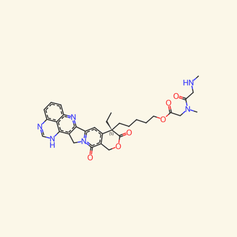 CC[C@@]1(CCCCCOC(=O)CN(C)C(=O)CNC)C(=O)OCc2c1cc1n(c2=O)Cc2c-1nc1cccc3c1c2NC=N3